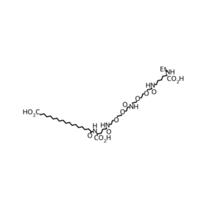 CCN[C@@H](CCCCNC(=O)COCCOCCNC(=O)COCCOCCNC(=O)CCC(NC(=O)CCCCCCCCCCCCCCCCC(=O)O)C(=O)O)C(=O)O